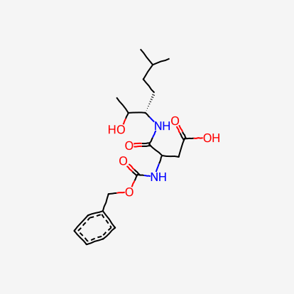 CC(C)CC[C@H](NC(=O)C(CC(=O)O)NC(=O)OCc1ccccc1)C(C)O